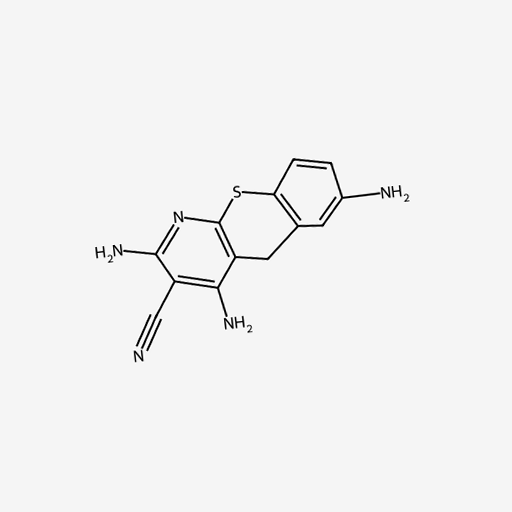 N#Cc1c(N)nc2c(c1N)Cc1cc(N)ccc1S2